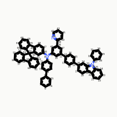 c1ccc(-c2ccc(N(c3cc(-c4ccc(-c5ccc6c7ccccc7n(-c7ccccc7)c6c5)cc4)cc(-c4ccccn4)c3)c3ccc4c(c3)C3(c5ccccc5-c5ccccc53)c3ccccc3-4)cc2)cc1